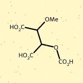 COC(C(=O)O)C(OC(=O)O)C(=O)O